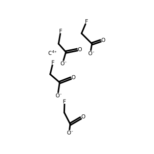 O=C([O-])CF.O=C([O-])CF.O=C([O-])CF.O=C([O-])CF.[C+4]